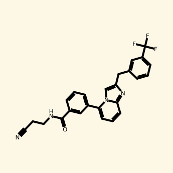 N#CCCNC(=O)c1cccc(-c2cccc3nc(Cc4cccc(C(F)(F)F)c4)cn23)c1